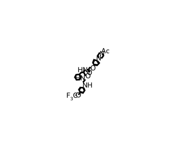 CC(=O)N1CCN(c2ccc(OCC(=O)NC(CC3CCCCC3)C(=O)NCCNc3ccc(OC(F)(F)F)cc3)cc2)CC1